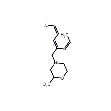 C\C=C/C=C(\C=C/C)CN1CCOC(C(=O)O)C1